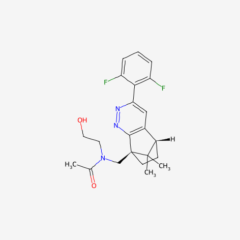 CC(=O)N(CCO)C[C@@]12CC[C@@H](c3cc(-c4c(F)cccc4F)nnc31)C2(C)C